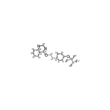 FC(F)C(F)(F)Oc1ccc(CCOc2ncnc3ccccc23)cc1